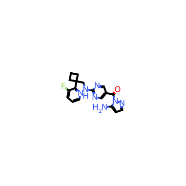 Nc1ccnn1C(=O)c1cnc(NCC2(c3ncccc3F)CCC2)nc1